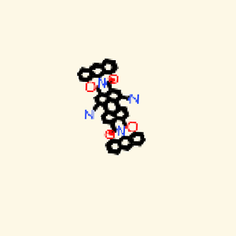 N#Cc1cc2c3c(cc(C#N)c4c5ccc6c7c(ccc(c1c34)c75)C(=O)N(c1c3ccccc3cc3ccccc13)C6=O)C(=O)N(c1c3ccccc3cc3ccccc13)C2=O